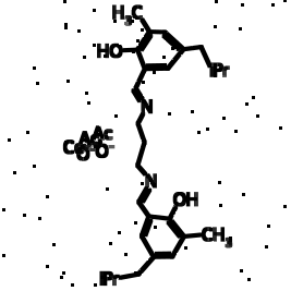 CC(=O)[O-].CC(=O)[O-].Cc1cc(CC(C)C)cc(C=NCCCN=Cc2cc(CC(C)C)cc(C)c2O)c1O.[Co+2]